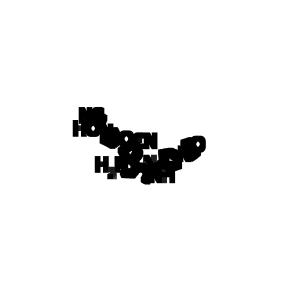 C=c1[nH]c(-c2ccc(N3CCOCC3)cc2)n/c1=C(/C=C\N)C1=C[C@@H](C#N)C(O[C@@H]2CCN([C@H](O)CC#N)C2)CC1